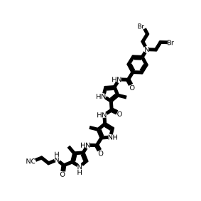 Cc1c(NC(=O)c2ccc(N(CCBr)CCBr)cc2)c[nH]c1C(=O)Nc1c[nH]c(C(=O)Nc2c[nH]c(C(=O)NCCC#N)c2C)c1C